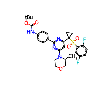 C[C@H]1COCCN1c1cc(C2(S(=O)(=O)c3cc(F)ccc3F)CC2)nc(-c2ccc(NC(=O)OC(C)(C)C)cc2)n1